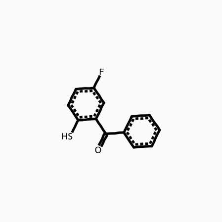 O=C(c1ccccc1)c1cc(F)ccc1S